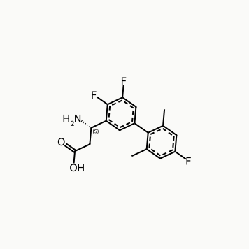 Cc1cc(F)cc(C)c1-c1cc(F)c(F)c([C@@H](N)CC(=O)O)c1